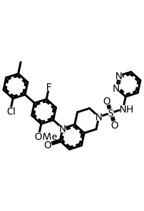 COc1cc(-c2cc(C)ccc2Cl)c(F)cc1-n1c2c(ccc1=O)CN(S(=O)(=O)Nc1cccnn1)CC2